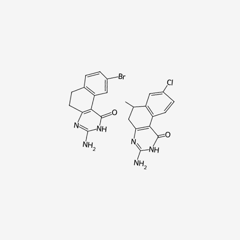 CC1Cc2nc(N)[nH]c(=O)c2-c2ccc(Cl)cc21.Nc1nc2c(c(=O)[nH]1)-c1cc(Br)ccc1CC2